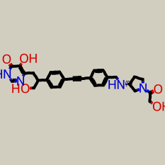 O=C(CO)N1CC[C@@H](NCc2ccc(C#Cc3ccc(C(CO)Cc4nc[nH]c(=O)c4O)cc3)cc2)C1